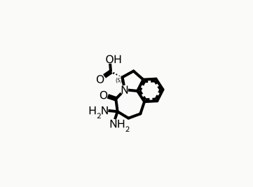 NC1(N)CCc2cccc3c2N(C1=O)[C@H](C(=O)O)C3